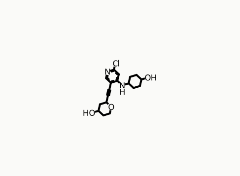 OC1CCC(Nc2cc(Cl)ncc2C#CC2CC(O)CCO2)CC1